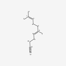 CC(C)=CCCC(C)=CCCC#N